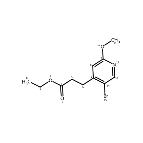 CCOC(=O)CCc1cc(OC)ncc1Br